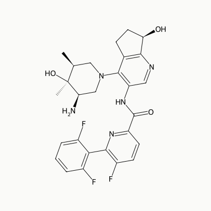 C[C@H]1CN(c2c(NC(=O)c3ccc(F)c(-c4c(F)cccc4F)n3)cnc3c2CC[C@H]3O)C[C@@H](N)[C@@]1(C)O